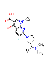 C[C@H]([C@H]1CCN(c2nc3c(cc2F)c(=O)c(C(=O)O)cn3C2CC2)C1)N(C)C